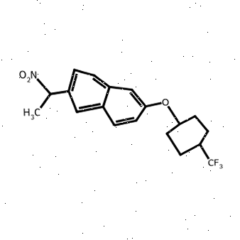 CC(c1ccc2cc(OC3CCC(C(F)(F)F)CC3)ccc2c1)[N+](=O)[O-]